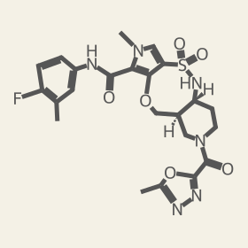 Cc1nnc(C(=O)N2CC[C@H]3NS(=O)(=O)c4cn(C)c(C(=O)Nc5ccc(F)c(C)c5)c4OC[C@@H]3C2)o1